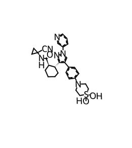 N#CC1(NC(=O)[C@@H]2CCCC[C@H]2c2nn(-c3cccnc3)cc2-c2ccc(N3CCS(O)(O)CC3)cc2)CC1